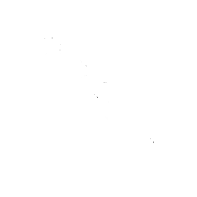 O=C(Nc1ccc2c(c1)CCC(CN1CCCC1)C2)c1ccc(-c2ccccc2)cc1